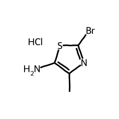 Cc1nc(Br)sc1N.Cl